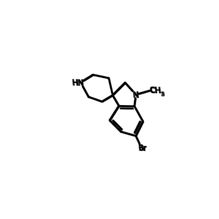 CN1CC2(CCNCC2)c2ccc(Br)cc21